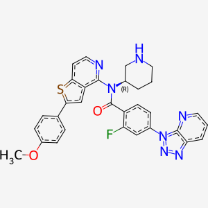 COc1ccc(-c2cc3c(N(C(=O)c4ccc(-n5nnc6cccnc65)cc4F)[C@@H]4CCCNC4)nccc3s2)cc1